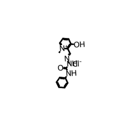 C[n+]1cccc(O)c1C=NNC(=O)Nc1ccccc1.[Cl-]